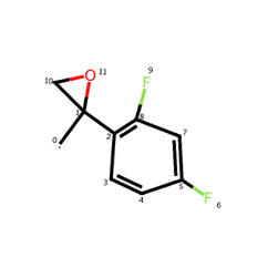 [CH2]C1(c2ccc(F)cc2F)CO1